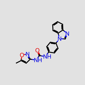 Cc1cc(NC(=O)Nc2ccc(-n3cnc4ccccc43)cc2)no1